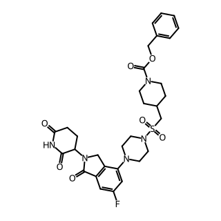 O=C1CCC(N2Cc3c(cc(F)cc3N3CCN(S(=O)(=O)CC4CCN(C(=O)OCc5ccccc5)CC4)CC3)C2=O)C(=O)N1